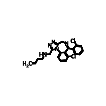 C=CCCNCc1nnc2n1-c1cccc(Cl)c1C(c1ccccc1Cl)=NC2